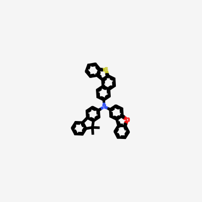 CC1(C)c2ccccc2-c2ccc(N(c3ccc4c(ccc5sc6ccccc6c54)c3)c3ccc4oc5ccccc5c4c3)cc21